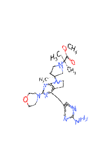 COC(=O)C(C)(C)N1CC[C@](C)(N2CCc3c(-c4cnc(N)nc4)nc(N4CCOCC4)nc32)C1